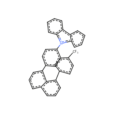 FC(F)(F)c1ccc(-c2cccc3cccc(-c4ccc(-n5c6ccccc6c6ccccc65)cc4)c23)cc1